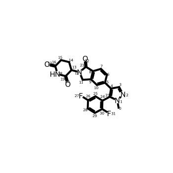 Cn1ncc(-c2ccc3c(c2)CN(C2CCC(=O)NC2=O)C3=O)c1-c1cc(F)ccc1F